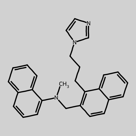 CN(Cc1ccc2ccccc2c1CCCn1ccnc1)c1cccc2ccccc12